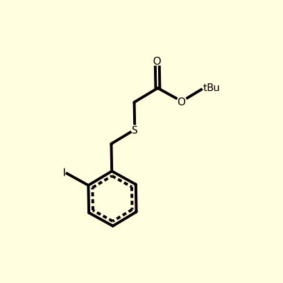 CC(C)(C)OC(=O)CSCc1ccccc1I